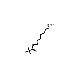 CCCCCSCCCCCCOC(=O)C(C)(C)Br